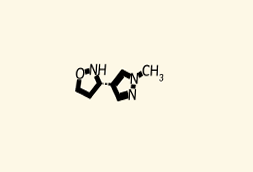 Cn1cc([C@@H]2CCON2)cn1